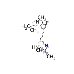 C=N/C=C(Cl)\C=N/CCC(CCCCc1ccc(CC(=C)N2CCC(C(=C)C)CC2)c(F)c1)CCNC